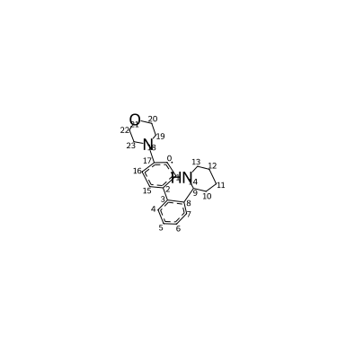 [c]1cc(-c2ccccc2C2CCCCN2)ccc1N1CCOCC1